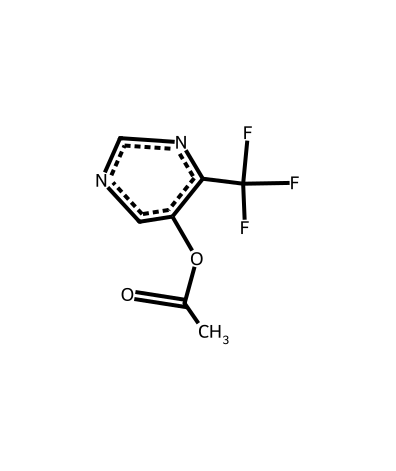 CC(=O)Oc1cncnc1C(F)(F)F